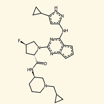 O=C(N[C@@H]1CCCN(CC2CC2)C1)[C@@H]1C[C@@H](F)CN1c1nc(Nc2cc(C3CC3)[nH]n2)c2cccn2n1